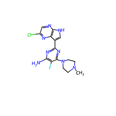 CN1CCN(c2nc(-c3c[nH]c4ncc(Cl)nc34)nc(N)c2F)CC1